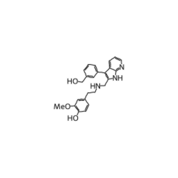 COc1cc(CCNCc2[nH]c3ncccc3c2-c2cccc(CO)c2)ccc1O